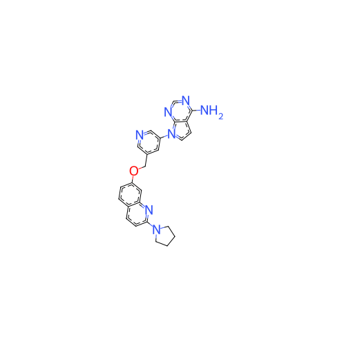 Nc1ncnc2c1ccn2-c1cncc(COc2ccc3ccc(N4CCCC4)nc3c2)c1